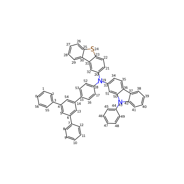 c1ccc(-c2cc(-c3ccccc3)cc(-c3ccc(N(c4ccc5sc6ccccc6c5c4)c4ccc5c6ccccc6n(-c6ccccc6)c5c4)cc3)c2)cc1